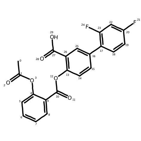 CC(=O)Oc1ccccc1C(=O)Oc1ccc(-c2ccc(F)cc2F)cc1C(=O)O